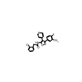 Cc1cc(-c2noc(NC(=O)Cc3ccccc3Cl)c2-c2ccncc2)ccc1F